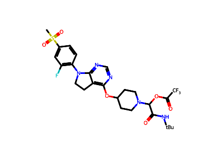 CC(C)(C)NC(=O)C(OC(=O)C(F)(F)F)N1CCC(Oc2ncnc3c2CCN3c2ccc(S(C)(=O)=O)cc2F)CC1